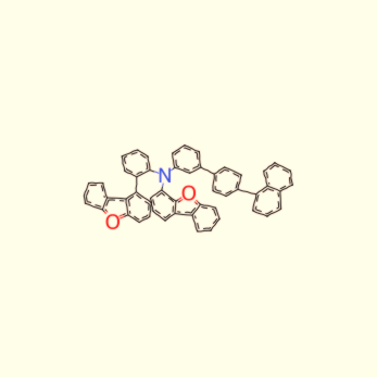 c1cc(-c2ccc(-c3cccc4ccccc34)cc2)cc(N(c2ccccc2-c2cccc3oc4ccccc4c23)c2cccc3c2oc2ccccc23)c1